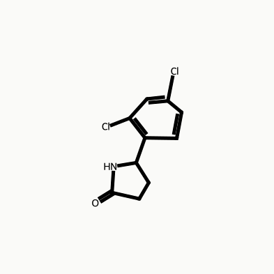 O=C1CCC(c2ccc(Cl)cc2Cl)N1